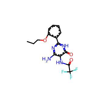 CCCOc1ccccc1-c1nc(N)c(NC(=O)C(F)(F)F)c(=O)[nH]1